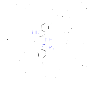 CN(C)n1c(Nc2c[nH]c3ccc(Cl)cc23)nc2ccc(C(F)(F)F)cc21